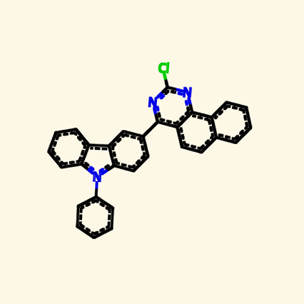 Clc1nc(-c2ccc3c(c2)c2ccccc2n3-c2ccccc2)c2ccc3ccccc3c2n1